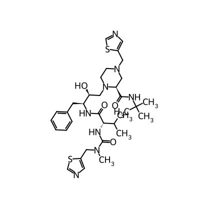 CC(C)[C@H](NC(=O)N(C)Cc1cncs1)C(=O)N[C@@H](Cc1ccccc1)[C@@H](O)CN1CCN(Cc2cncs2)C[C@H]1C(=O)NC(C)(C)C